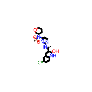 C[C@H](Nc1nccc(N(C2CCCOC2)S(C)(=O)=O)n1)C1=Cc2cc(Cl)ccc2NC1O